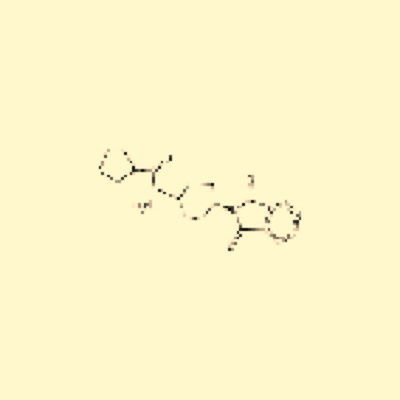 N[C@H](C(=O)N1CCCC1)[C@H]1CC[C@H](N2C(=O)c3ccncc3C2=O)CC1